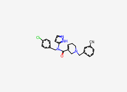 N#Cc1cccc(CN2CCC=C(C(=O)N(Cc3ccc(Cl)cc3)c3ccn[nH]3)C2)c1